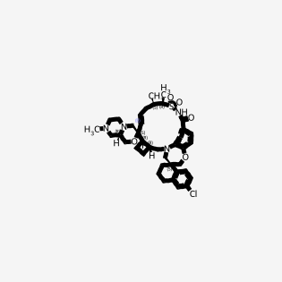 C[C@@H]1[C@@H](C)C/C=C/[C@]2(CN3CCN(C)C[C@@H]3CO2)[C@@H]2CC[C@H]2CN2C[C@@]3(CCCc4cc(Cl)ccc43)COc3ccc(cc32)C(=O)NS1(=O)=O